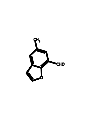 Cc1cc(C=O)c2occc2c1